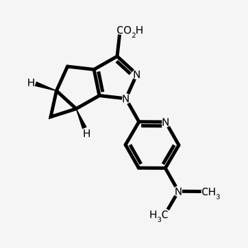 CN(C)c1ccc(-n2nc(C(=O)O)c3c2[C@@H]2C[C@@H]2C3)nc1